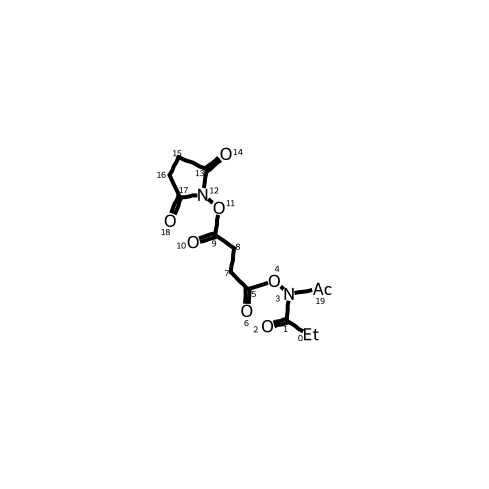 CCC(=O)N(OC(=O)CCC(=O)ON1C(=O)CCC1=O)C(C)=O